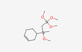 CO[Si](C[Si](C)(OC)C1CC=CCC1)(OC)OC